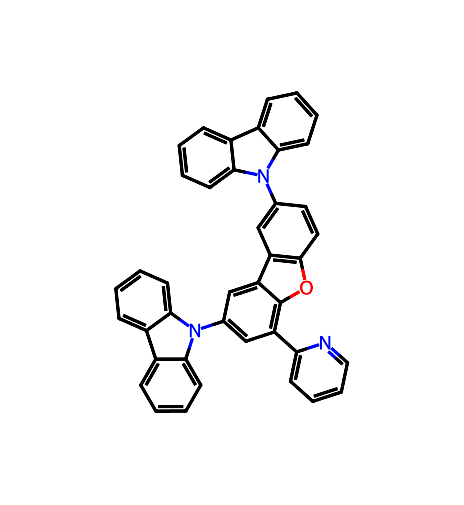 c1ccc(-c2cc(-n3c4ccccc4c4ccccc43)cc3c2oc2ccc(-n4c5ccccc5c5ccccc54)cc23)nc1